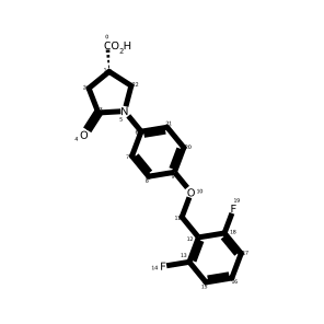 O=C(O)[C@H]1CC(=O)N(c2ccc(OCc3c(F)cccc3F)cc2)C1